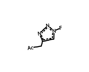 CC(=O)Cc1cn(F)nn1